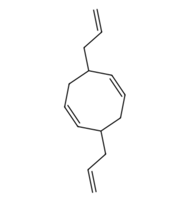 C=CCC1C=CCC(CC=C)C=CC1